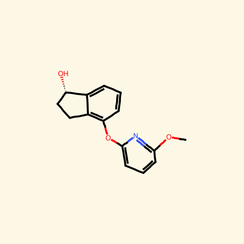 COc1cccc(Oc2cccc3c2CC[C@@H]3O)n1